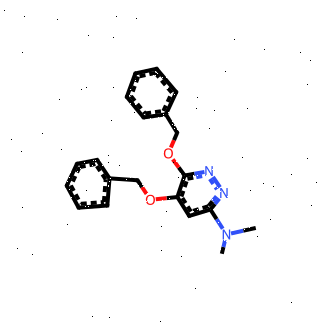 CN(C)c1cc(OCc2ccccc2)c(OCc2ccccc2)nn1